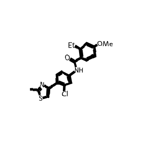 CCc1cc(OC)ccc1C(=O)Nc1ccc(-c2csc(C)n2)c(Cl)c1